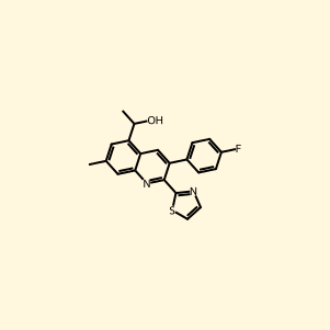 Cc1cc(C(C)O)c2cc(-c3ccc(F)cc3)c(-c3nccs3)nc2c1